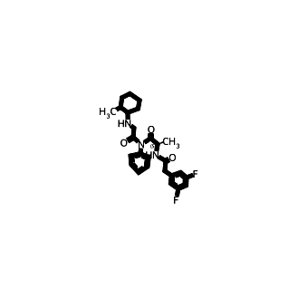 CC1CCCCC1NCC(=O)N(C(=O)[C@H](C)NC(=O)Cc1cc(F)cc(F)c1)c1ccccc1